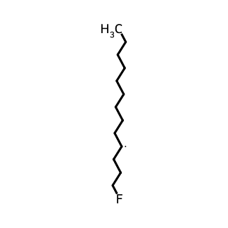 CCCCCCCCC[CH]CCCF